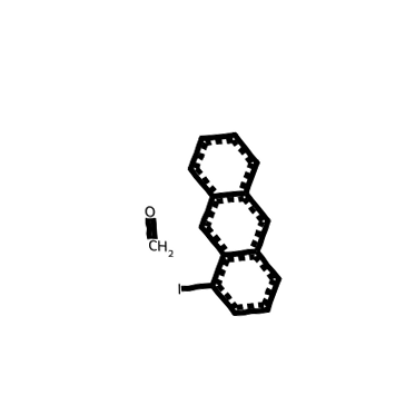 C=O.Ic1cccc2cc3ccccc3cc12